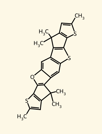 Cc1cc2c(s1)-c1oc3cc4c5c(sc4cc3c1C2(C)C)-c1sc(C)cc1C5(C)C